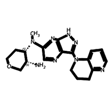 CN(c1cnc2c(N3CCCc4ncccc43)n[nH]c2n1)[C@H]1CCOC[C@H]1N